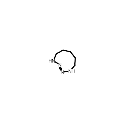 C1CCN/N=N/NCC1